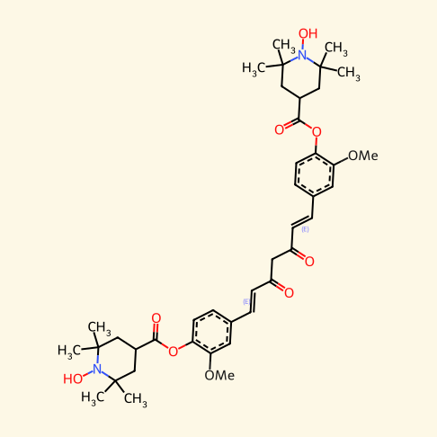 COc1cc(/C=C/C(=O)CC(=O)/C=C/c2ccc(OC(=O)C3CC(C)(C)N(O)C(C)(C)C3)c(OC)c2)ccc1OC(=O)C1CC(C)(C)N(O)C(C)(C)C1